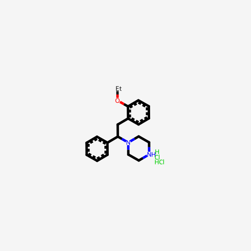 CCOc1ccccc1CC(c1ccccc1)N1CCNCC1.Cl.Cl